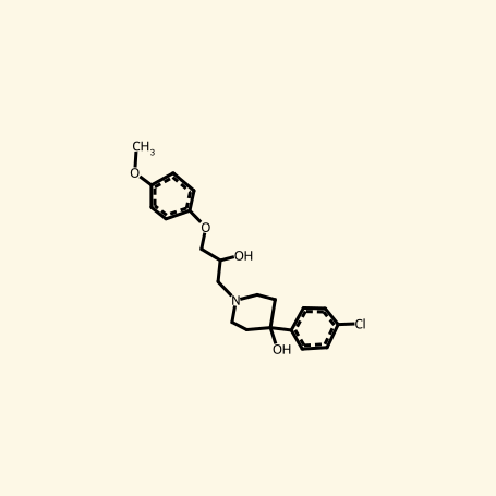 COc1ccc(OCC(O)CN2CCC(O)(c3ccc(Cl)cc3)CC2)cc1